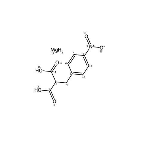 O=C(O)C(Cc1ccc([N+](=O)[O-])cc1)C(=O)O.[MgH2]